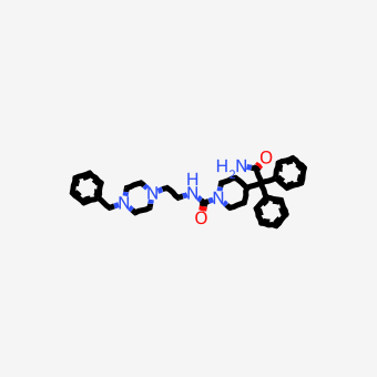 NC(=O)C(c1ccccc1)(c1ccccc1)C1CCN(C(=O)NCCN2CCN(Cc3ccccc3)CC2)CC1